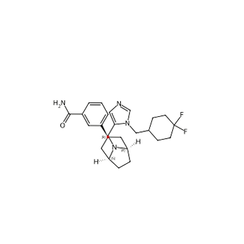 NC(=O)c1cccc([C@H]2C[C@H]3CC[C@@H](C2)N3Cc2cncn2CC2CCC(F)(F)CC2)c1